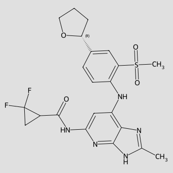 Cc1nc2c(Nc3ccc([C@H]4CCCO4)cc3S(C)(=O)=O)cc(NC(=O)C3CC3(F)F)nc2[nH]1